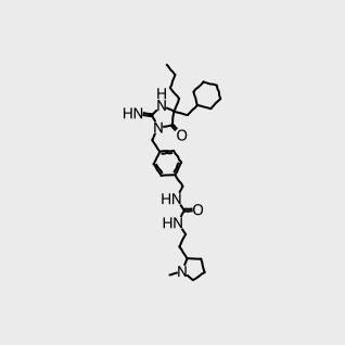 CCCCC1(CC2CCCCC2)NC(=N)N(Cc2ccc(CNC(=O)NCCC3CCCN3C)cc2)C1=O